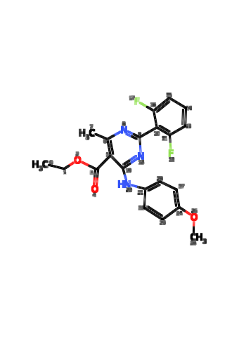 CCOC(=O)c1c(C)nc(-c2c(F)cccc2F)nc1Nc1ccc(OC)cc1